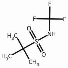 CC(C)(C)S(=O)(=O)NC(F)(F)F